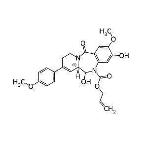 C=CCOC(=O)N1c2cc(O)c(OC)cc2C(=O)N2CCC(c3ccc(OC)cc3)=C[C@H]2C1O